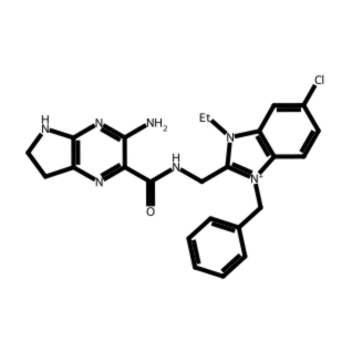 CCn1c(CNC(=O)c2nc3c(nc2N)NCC3)[n+](Cc2ccccc2)c2ccc(Cl)cc21